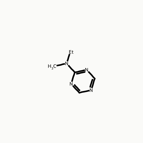 CCN(C)c1ncncn1